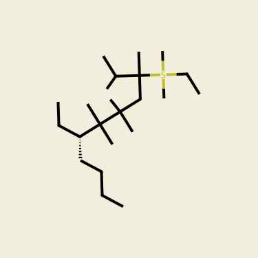 CCCC[C@H](CC)C(C)(C)C(C)(C)CC(C)(C(C)C)S(C)(C)CC